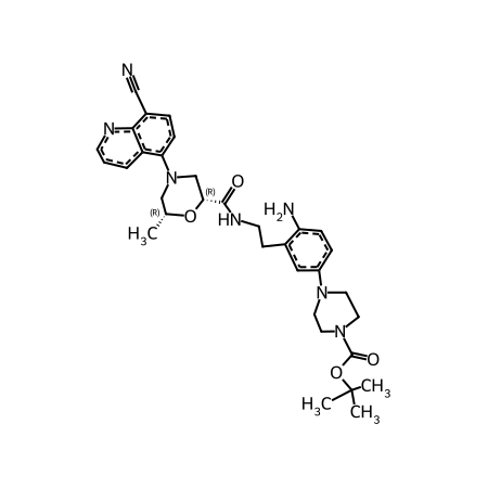 C[C@@H]1CN(c2ccc(C#N)c3ncccc23)C[C@H](C(=O)NCCc2cc(N3CCN(C(=O)OC(C)(C)C)CC3)ccc2N)O1